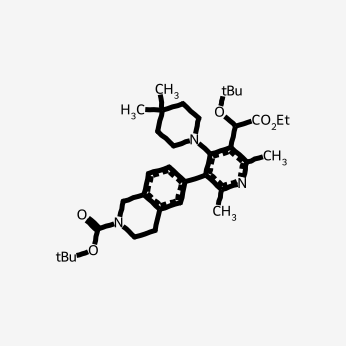 CCOC(=O)C(OC(C)(C)C)c1c(C)nc(C)c(-c2ccc3c(c2)CCN(C(=O)OC(C)(C)C)C3)c1N1CCC(C)(C)CC1